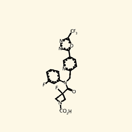 O=C(O)N1CC(F)(C(=O)N(Cc2ccc(-c3nnc(C(F)(F)F)o3)cn2)c2cccc(F)c2)C1